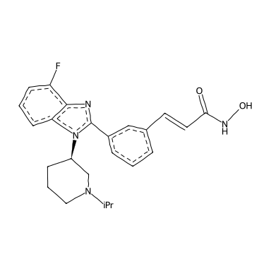 CC(C)N1CCC[C@@H](n2c(-c3cccc(C=CC(=O)NO)c3)nc3c(F)cccc32)C1